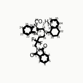 O=C1c2ccccc2C(=O)N1CC(F)(F)CCN(Cc1nc2ccccc2n1C(=O)O)C1CCCc2cccnc21